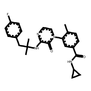 Cc1ccc(C(=O)NC2CC2)cc1-n1ccnc(NC(C)(C)Cc2ccc(F)cc2)c1=O